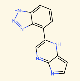 c1cc(-c2cnc3nccc-3[nH]2)c2nn[nH]c2c1